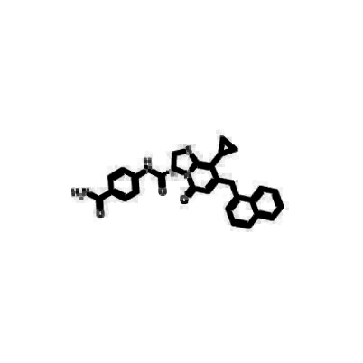 NC(=O)c1ccc(NC(=O)[C@@H]2CSc3c(C4CC4)c(Cc4cccc5ccccc45)cc(=O)n32)cc1